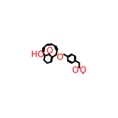 COC(=O)Cc1ccc(COC2C#CC=CC#CC3(O)CCC=C2C3=O)cc1